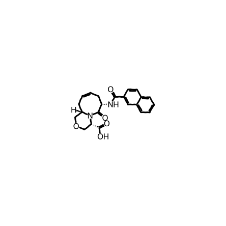 O=C(N[C@H]1CC=CC[C@H]2COC[C@@H](C(=O)O)N2C1=O)c1ccc2ccccc2c1